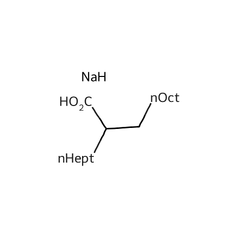 CCCCCCCCCC(CCCCCCC)C(=O)O.[NaH]